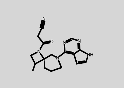 CC1CN(C(=O)CC#N)[C@@]12CCCN(c1ncnc3[nH]ccc13)C2